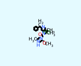 C=C(c1ccccc1)c1cc2c(cn1)C(C)(C)CN2C(=O)CN1C[C@@H](C)NC[C@@H]1COC.Cl